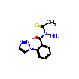 CC(=S)N(N)C(=O)c1ccccc1-n1ccnn1